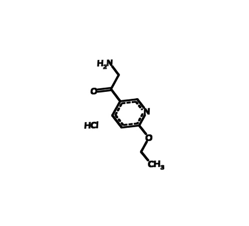 CCOc1ccc(C(=O)CN)cn1.Cl